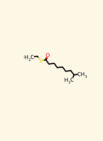 [CH2]CSC(=O)CCCCCCC(C)C